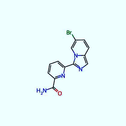 NC(=O)c1cccc(-c2ncc3ccc(Br)cn23)n1